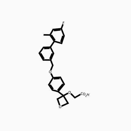 Cc1cc(F)ccc1-c1cccc(COc2ccc(C3(OCC(=O)O)COC3)cc2)c1